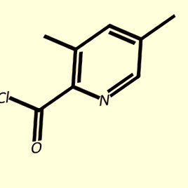 Cc1cnc(C(=O)Cl)c(C)c1